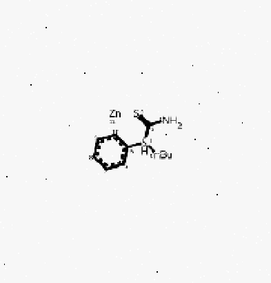 CCCC[SH](C(N)=S)c1ccccc1.[Zn]